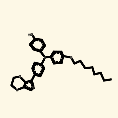 CCCCCCCCOc1ccc(N(c2ccc(O)cc2)c2ccc(-c3scc4c3OCCO4)cc2)cc1